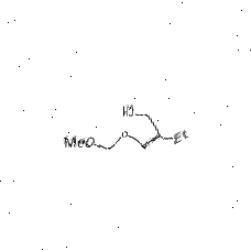 CCC(CO)COCOC